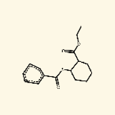 CCOC(=O)C1CCCCC1SC(=O)c1ccccc1